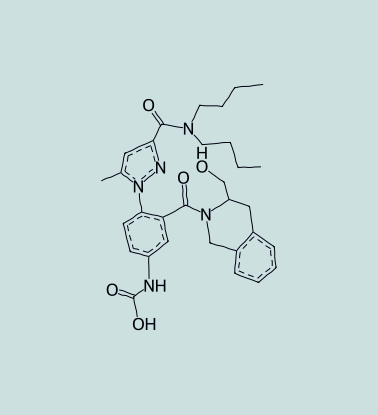 CCCCN(CCCC)C(=O)c1cc(C)n(-c2ccc(NC(=O)O)cc2C(=O)N2Cc3ccccc3CC2CO)n1